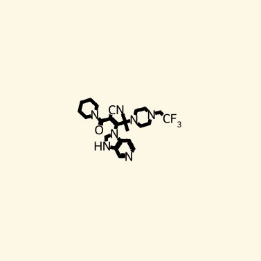 CC(C)(C(=C(C#N)C(=O)N1CCCCC1)N1CNc2cnccc21)N1CCN(CC(F)(F)F)CC1